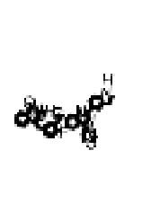 O=C(c1cc(Cc2n[nH]c(=O)c3ccccc23)ccc1F)N1CCc2c(nc(-c3ccc4[nH]ccc4c3)nc2N2CCOCC2)C1